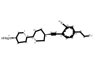 CCCCCCC[C@H]1CC[C@H]([C@H]2CC[C@H](C#Cc3ccc(CCF)cc3F)CC2)CC1